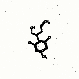 C=CCC(CO)c1c(Cl)nc(C)nc1Cl